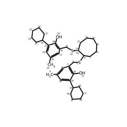 Cc1cc(CSC2CCCCCC[C@@H]2SCc2cc(C)cc(C3CCCCC3)c2O)c(O)c(C2CCCCC2)c1